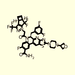 NC(=O)c1cc(-c2cc3sc(N4CCN(C5COC5)CC4)nc3nc2[C@H](Cc2cc(F)cc(F)c2)NC(=O)Cn2nc(C(F)(F)F)c3c2C(F)(F)[C@@H]2C=C[C@H]32)ccc1F